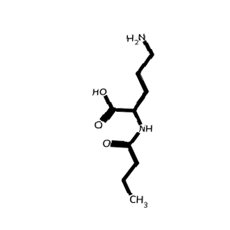 CCCC(=O)NC(CCCN)C(=O)O